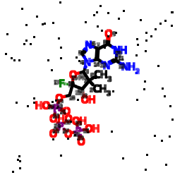 CC1(C)[C@H](n2cnc3c(=O)[nH]c(N)nc32)O[C@](F)(COP(=O)(O)OP(=O)(O)OP(=O)(O)O)[C@H]1O